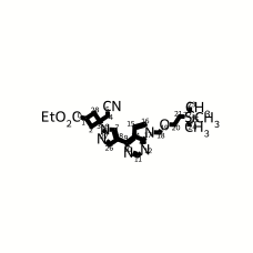 CCOC(=O)C1CC(CC#N)(n2cc(-c3ncnc4c3ccn4COCC[Si](C)(C)C)cn2)C1